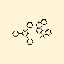 CC1(C)c2ccccc2-c2c1ccc1c(-c3cccc(-c4nc(-c5ccccc5)nc(-c5ccccc5)n4)c3)nc3ccccc3c21